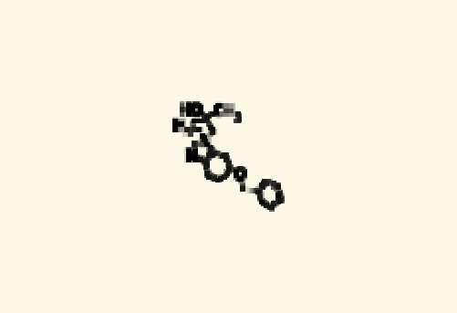 CC(C)(O)Cn1cnc2ccc(OCc3ccccc3)cc21